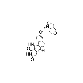 CN(CCOc1ccc2c(C(=N)[C@H]3CCC(=O)NC3=O)c(O)ccc2c1)C1CCOCC1